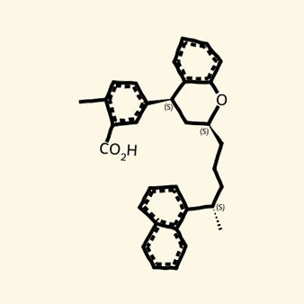 Cc1ccc([C@@H]2C[C@H](CCC[C@H](C)c3cccc4ccccc34)Oc3ccccc32)cc1C(=O)O